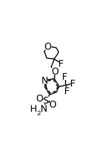 NS(=O)(=O)c1cnc(OCC2(F)CCOCC2)c(C(F)(F)F)c1